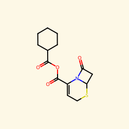 O=C(OC(=O)C1CCCCC1)C1=CCSC2CC(=O)N12